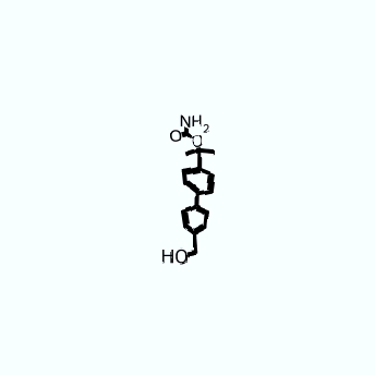 CC(C)(OC(N)=O)c1ccc(-c2ccc(CO)cc2)cc1